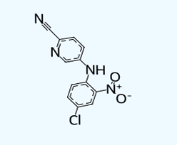 N#Cc1ccc(Nc2ccc(Cl)cc2[N+](=O)[O-])cn1